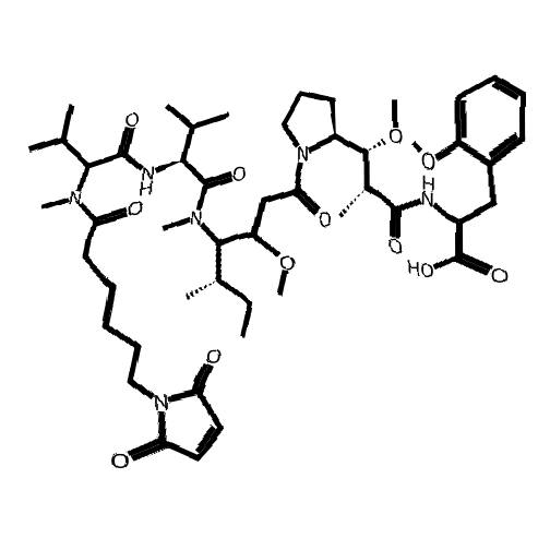 CC[C@H](C)C(C(CC(=O)N1CCC[C@H]1[C@H](OC)[C@@H](C)C(=O)NC(Cc1ccccc1OC)C(=O)O)OC)N(C)C(=O)[C@@H](NC(=O)C(C(C)C)N(C)C(=O)CCCCCN1C(=O)C=CC1=O)C(C)C